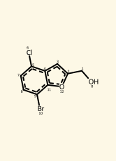 OCc1cc2c(Cl)ccc(Br)c2o1